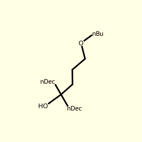 CCCCCCCCCCC(O)(CCCCCCCCCC)CCCOCCCC